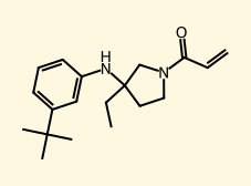 C=CC(=O)N1CCC(CC)(Nc2cccc(C(C)(C)C)c2)C1